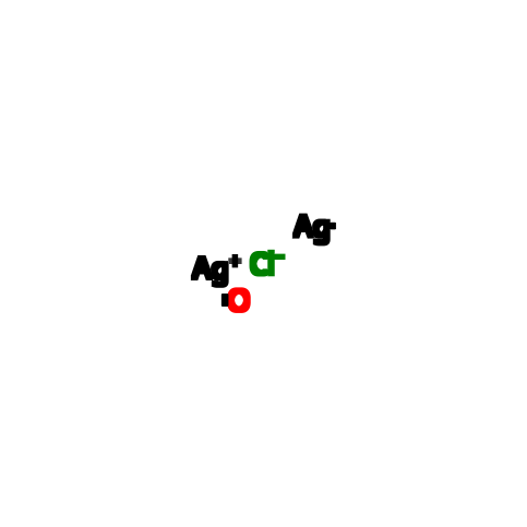 [Ag+].[Ag].[Cl-].[O]